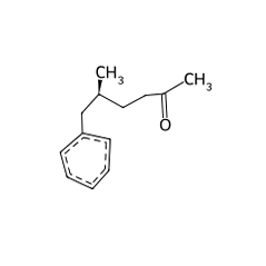 CC(=O)CC[C@H](C)Cc1ccccc1